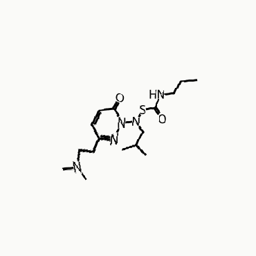 CCCNC(=O)SN(CC(C)C)n1nc(CCN(C)C)ccc1=O